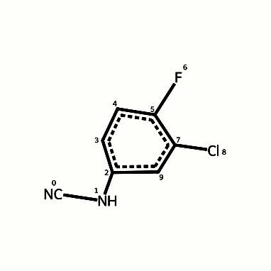 N#CNc1ccc(F)c(Cl)c1